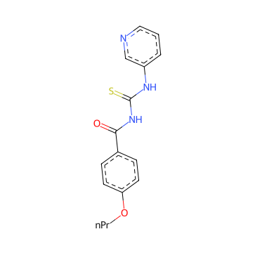 CCCOc1ccc(C(=O)NC(=S)Nc2cccnc2)cc1